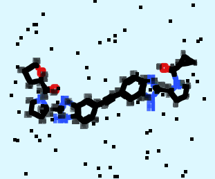 O=C(C1CC1)N1CCC[C@H]1c1nc2ccc(C#Cc3ccc4[nH]c([C@@H]5CCCN5C(=O)[C@H]5CCCO5)nc4c3)cc2[nH]1